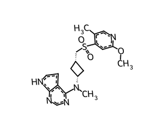 COc1cc(S(=O)(=O)C[C@H]2C[C@@H](N(C)c3ncnc4[nH]ccc34)C2)c(C)cn1